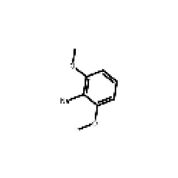 COc1cccc(OC)[c]1[Na]